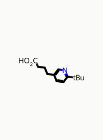 CC(C)(C)c1ccc(CCCC(=O)O)cn1